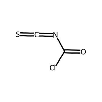 O=C(Cl)N=C=S